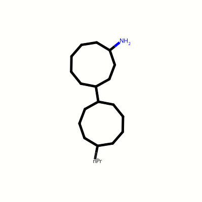 CCCC1CCCCC(C2CCCCCC(N)CC2)CCC1